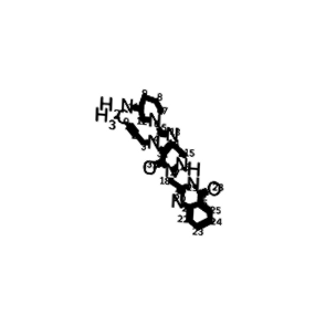 CC#CCn1c(N2CCCC(N)C2)nc2cnn(Cc3nc4ccccc4c(=O)[nH]3)c(=O)c21